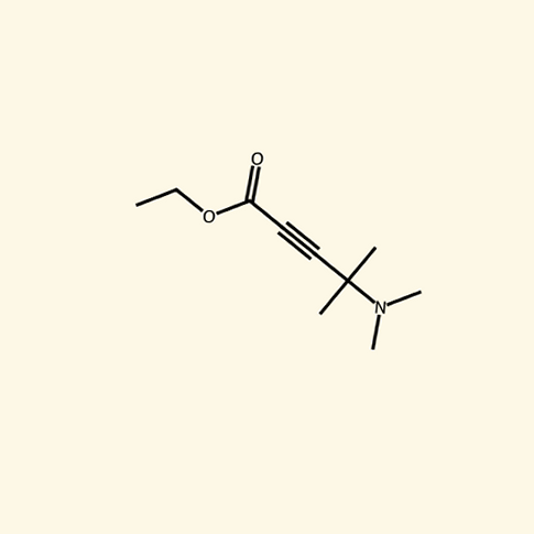 CCOC(=O)C#CC(C)(C)N(C)C